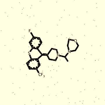 CC(N1CCOCC1)N1CCC(=C2c3ccc(F)cc3Sc3ccc(C(F)(F)F)cc32)CC1